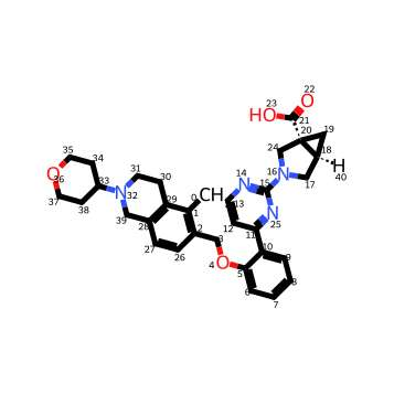 Cc1c(COc2ccccc2-c2ccnc(N3C[C@@H]4C[C@]4(C(=O)O)C3)n2)ccc2c1CCN(C1CCOCC1)C2